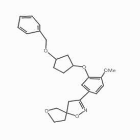 COc1ccc(C2=NOC3(CCOC3)C2)cc1OC1CCC(OCc2ccccc2)C1